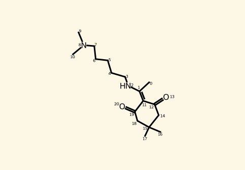 CC(NCCCCCN(C)C)=C1C(=O)CC(C)(C)CC1=O